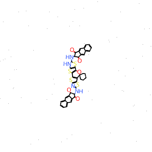 O=C1c2cc3ccccc3cc2C(=O)C1Nc1nc2sc3c(c2s1)C1(CCCCC1)Oc1c-3sc2c1SC(NC1C(=O)c3cc4ccccc4cc3C1=O)N2